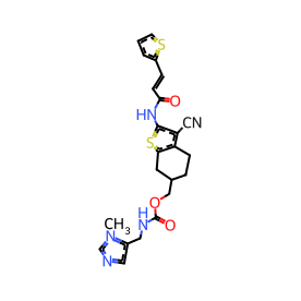 Cn1cncc1CNC(=O)OCC1CCc2c(sc(NC(=O)C=Cc3cccs3)c2C#N)C1